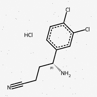 Cl.N#CCC[C@@H](N)c1ccc(Cl)c(Cl)c1